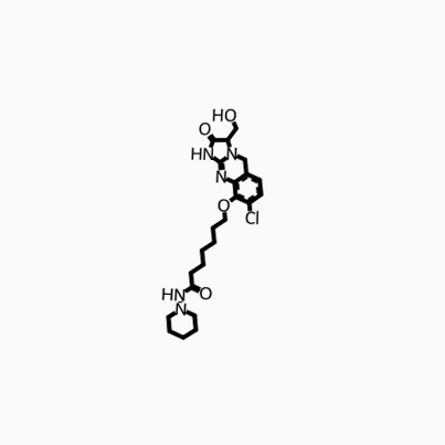 O=C(CCCCCCOc1c(Cl)ccc2c1N=C1NC(=O)C(CO)N1C2)NN1CCCCC1